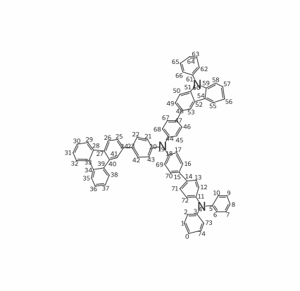 c1ccc(N(c2ccccc2)c2ccc(-c3ccc(N(c4ccc(-c5ccc6c7ccccc7c7ccccc7c6c5)cc4)c4ccc(-c5ccc6c(c5)c5ccccc5n6-c5ccccc5)cc4)cc3)cc2)cc1